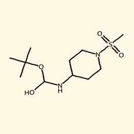 CC(C)(C)OC(O)NC1CCN(S(C)(=O)=O)CC1